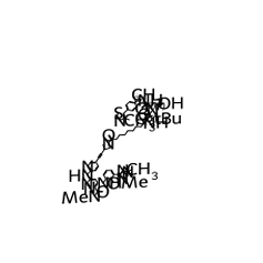 CNC(=O)c1nnc(Nc2ccc(C#CC3CN(C(=O)CCCCCCCC(=O)N[C@H](C(=O)N4C[C@H](O)C[C@H]4C(=O)N[C@@H](C)c4ccc(-c5scnc5C)cc4)C(C)(C)C)C3)cn2)cc1Nc1cccc(-c2ncn(C)n2)c1OC